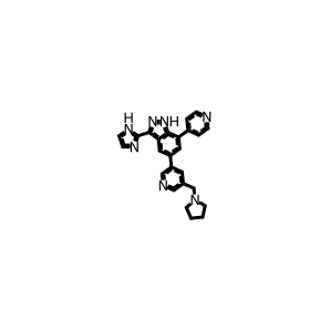 c1cc(-c2cc(-c3cncc(CN4CCCC4)c3)cc3c(-c4ncc[nH]4)n[nH]c23)ccn1